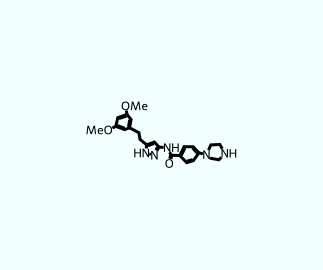 COc1cc(CCc2cc(NC(=O)c3ccc(N4CCNCC4)cc3)n[nH]2)cc(OC)c1